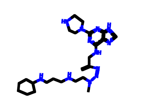 C=C(CNc1nc(N2CCNCC2)nc2[nH]cnc12)/N=N\N(C)CCNCCCNC1CCCCC1